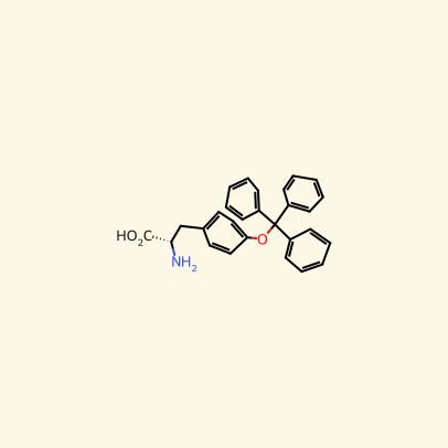 N[C@@H](Cc1ccc(OC(c2ccccc2)(c2ccccc2)c2ccccc2)cc1)C(=O)O